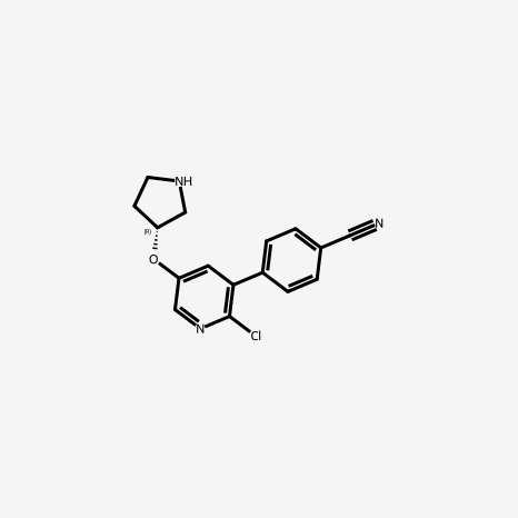 N#Cc1ccc(-c2cc(O[C@@H]3CCNC3)cnc2Cl)cc1